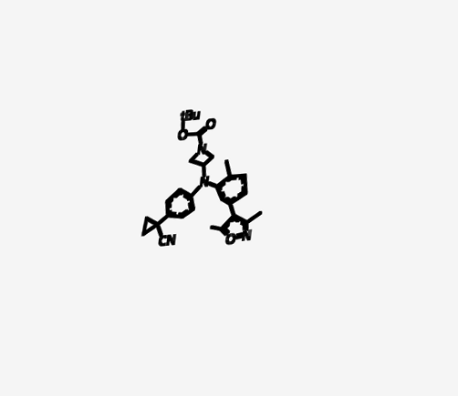 Cc1ccc(-c2c(C)noc2C)cc1N(c1ccc(C2(C#N)CC2)cc1)C1CN(C(=O)OC(C)(C)C)C1